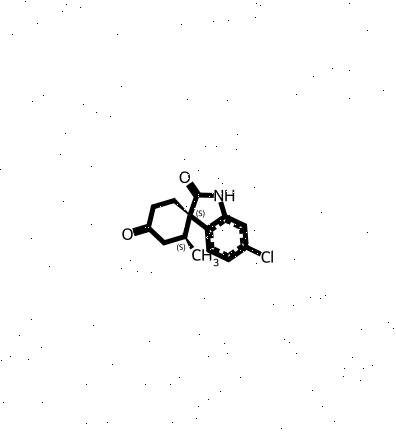 C[C@H]1CC(=O)CC[C@]12C(=O)Nc1cc(Cl)ccc12